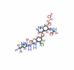 COCCOc1cc2nccc(Oc3ccc(NC(=O)Nc4cc(C(C)(C)C)nn4C)c(Cl)c3)c2cc1NC(C)=O